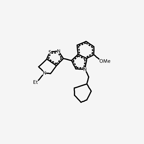 CCN1Cc2snc(-c3cn(CC4CCCCC4)c4c(OC)cccc34)c2C1